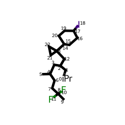 CC(C)CC(CC(C)CCC(C)(F)F)CC1(C2CCC(I)CC2)CC1